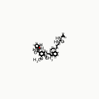 COc1cc(C(=O)N2C[C@H]3CC[C@@H]2[C@@H]3N)cc2nc(-c3cc4cccc5c4n3CCN5CCCNC(=O)NC3CC3)n(C)c12